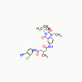 CCn1c(=O)n(CS(C)(C)C)c(=O)c2cc(NC(=O)CC(C)CC(=O)Nc3ccc(C#N)c(Cl)c3)ccc21